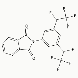 O=C1c2ccccc2C(=O)N1c1cc(C(F)C(F)(F)F)cc(C(F)C(F)(F)F)c1